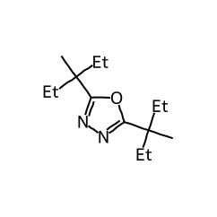 CCC(C)(CC)c1nnc(C(C)(CC)CC)o1